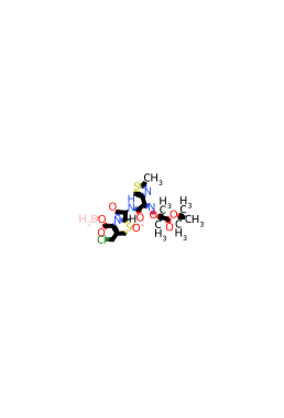 BOC(=O)C1=C(CCl)C[S+]([O-])[C@@H]2[C@H](NC(=O)/C(=N\OC(C)(C)C(=O)OC(C)(C)C)c3csc(C)n3)C(=O)N12